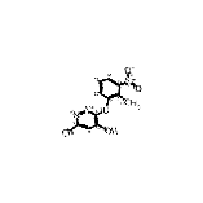 Cc1c(Oc2nnc(Cl)cc2O)cccc1[N+](=O)[O-]